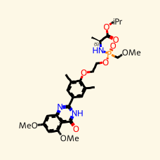 COCP(=O)(N[C@@H](C)C(=O)OC(C)C)OCCOc1c(C)cc(-c2nc3cc(OC)cc(OC)c3c(=O)[nH]2)cc1C